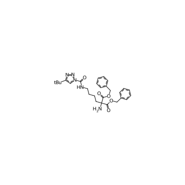 CC(C)(C)c1cn(C(=O)NCCCCC(N)(C(=O)OCc2ccccc2)C(=O)OCc2ccccc2)nn1